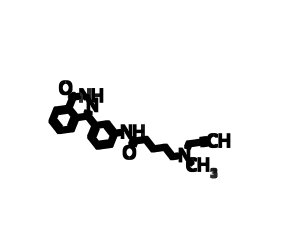 C#CCN(C)CCCCC(=O)Nc1cccc(-c2n[nH]c(=O)c3ccccc23)c1